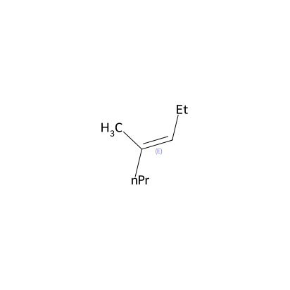 CC/C=C(\C)CCC